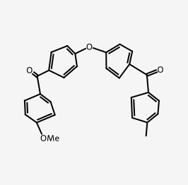 COc1ccc(C(=O)c2ccc(Oc3ccc(C(=O)c4ccc(C)cc4)cc3)cc2)cc1